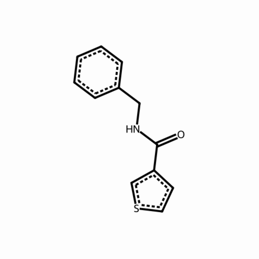 O=C(NCc1ccccc1)c1ccsc1